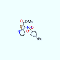 COC(=O)c1sc2ncccc2c1NS(=O)(=O)c1ccc(C(C)(C)C)cc1